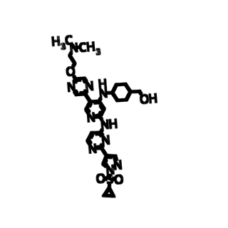 CN(C)CCOc1cnc(-c2cnc(Nc3ccnc(-c4cnn(S(=O)(=O)C5CC5)c4)n3)cc2NC2CCC(CO)CC2)cn1